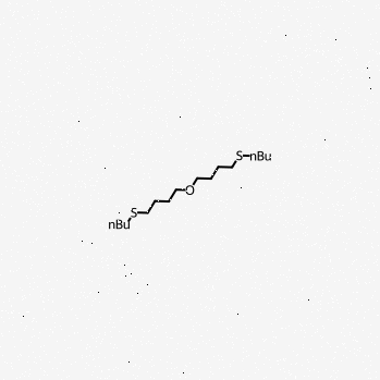 CCCCSCCCCOCCCCSCCCC